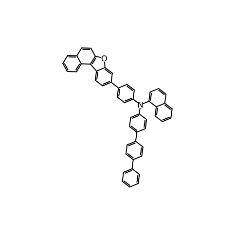 c1ccc(-c2ccc(-c3ccc(N(c4ccc(-c5ccc6c(c5)oc5ccc7ccccc7c56)cc4)c4cccc5ccccc45)cc3)cc2)cc1